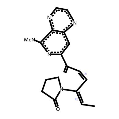 C=C(/C=C\C(=C/C)N1CCCC1=O)c1cc2nccnc2c(NC)n1